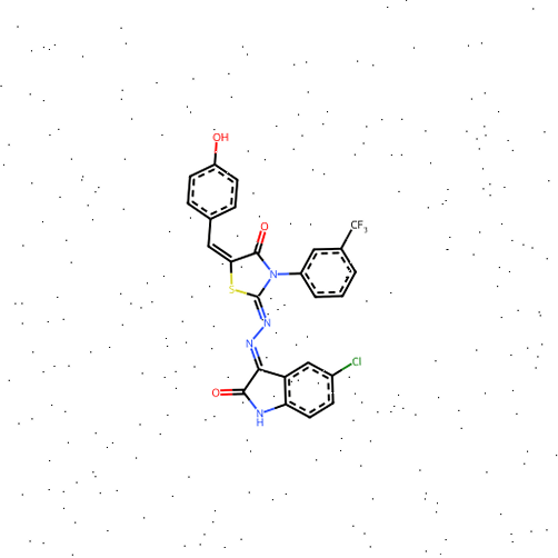 O=C1Nc2ccc(Cl)cc2C1=NN=C1SC(=Cc2ccc(O)cc2)C(=O)N1c1cccc(C(F)(F)F)c1